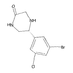 O=C1CN[C@H](c2cc(Cl)cc(Br)c2)CN1